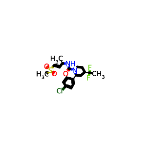 C[C@@H](/C=C/S(C)(=O)=O)NC(=O)N1CC[C@@H](C(C)(F)F)C[C@H]1c1ccc(Cl)cc1